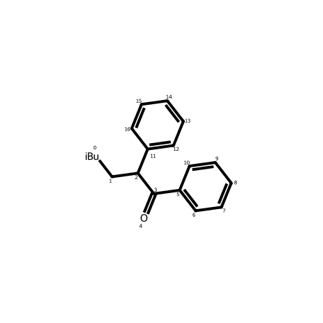 [CH2]C(CC)CC(C(=O)c1ccccc1)c1ccccc1